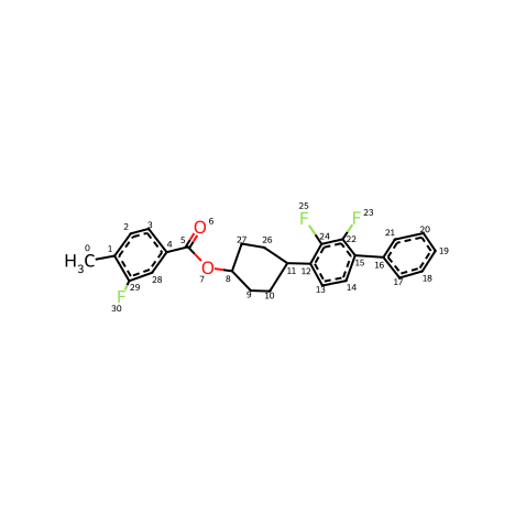 Cc1ccc(C(=O)OC2CCC(c3ccc(-c4ccccc4)c(F)c3F)CC2)cc1F